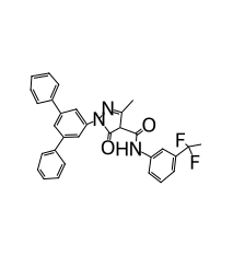 CC1=NN(c2cc(-c3ccccc3)cc(-c3ccccc3)c2)C(=O)C1C(=O)Nc1cccc(C(C)(F)F)c1